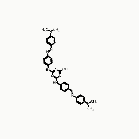 CN(C)c1ccc(N=Nc2ccc(Nc3nc(O)nc(Nc4ccc(N=Nc5ccc(N(C)C)cc5)cc4)n3)cc2)cc1